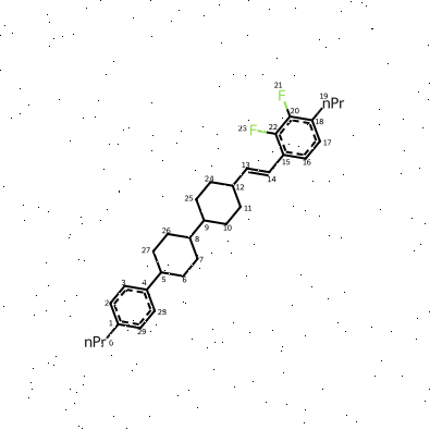 CCCc1ccc(C2CCC(C3CCC(/C=C/c4ccc(CCC)c(F)c4F)CC3)CC2)cc1